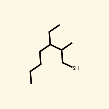 CCCCC(CC)C(C)CS